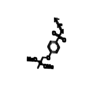 CO[Si](C)(COc1ccc(S(=O)(=O)N=[N+]=[N-])cc1)OC